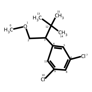 COCC(c1cc(Cl)cc(Cl)c1)C(C)(C)C